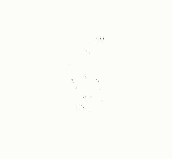 CNC(=O)N1CCC(Oc2ccc(Cl)c(F)c2C2NC(=O)C[C@@H](C3C=CC=C(Cl)C3)[C@]23C(=O)Nc2cc(Cl)ccc23)CC1